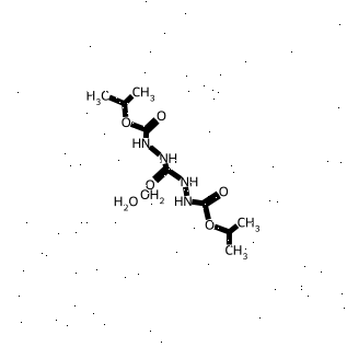 CC(C)OC(=O)NNC(=O)NNC(=O)OC(C)C.O.O